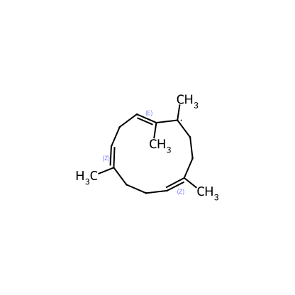 C[C]1CC/C(C)=C\CC/C(C)=C\C/C=C/1C